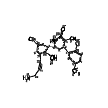 N#Cc1c(-c2cc(C(F)(F)F)ccc2Cl)cc(-c2cc(Cl)cc(C#CCN)c2O)[nH]c1=O